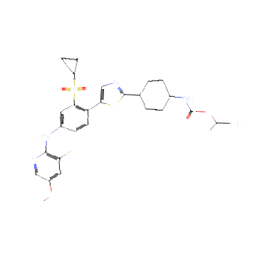 COc1cnc(Nc2ccc(-c3cnc(C4CCC(NC(=O)OC(C)C)CC4)s3)c(S(=O)(=O)C3CC3)c2)c(F)c1